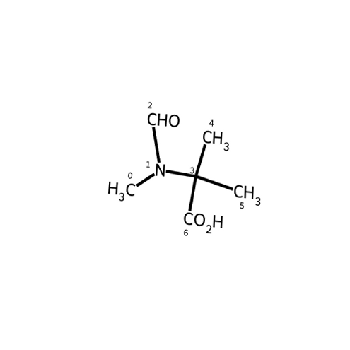 CN(C=O)C(C)(C)C(=O)O